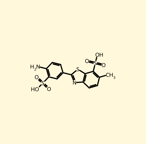 Cc1ccc2nc(-c3ccc(N)c(S(=O)(=O)O)c3)sc2c1S(=O)(=O)O